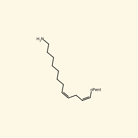 CCCCC/C=C\C/C=C\CCCCCCCN